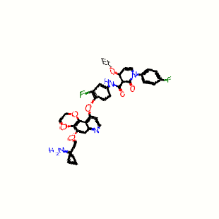 CCOC1C=CN(c2ccc(F)cc2)C(=O)C1C(=O)NC1=CC(F)C(Oc2ccnc3cc(OCC4(N)CC4)c4c(c23)OCCO4)CC1